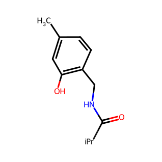 Cc1ccc(CNC(=O)C(C)C)c(O)c1